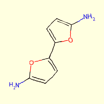 Nc1ccc(-c2ccc(N)o2)o1